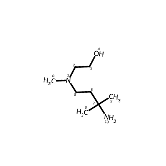 CN(CCO)CCC(C)(C)N